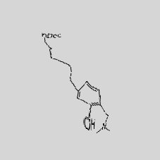 CCCCCCCCCCCCCCCc1ccc(CN(C)C)c(O)c1